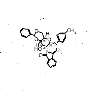 Cc1ccc(S[C@@H]2O[C@@H]3COC(c4ccccc4)O[C@H]3[C@H](O)[C@H]2N2C(=O)c3ccccc3C2=O)cc1